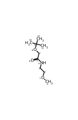 COCCNC(=O)COC(C)(C)C